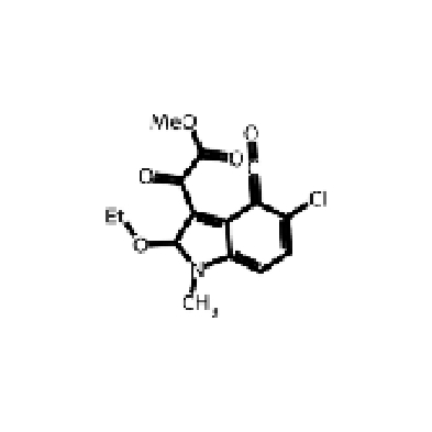 CCOC1C(C(=O)C(=O)OC)=c2c(ccc(Cl)c2=C=O)N1C